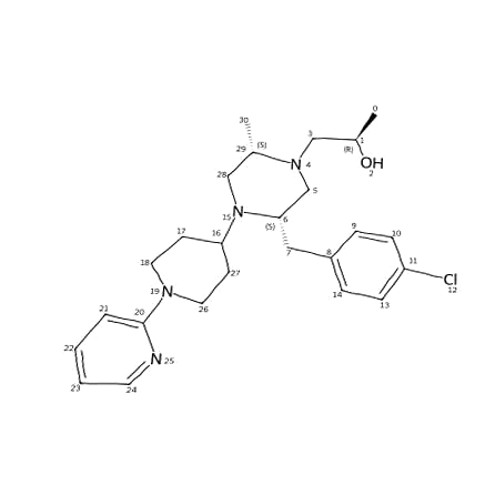 C[C@@H](O)CN1C[C@H](Cc2ccc(Cl)cc2)N(C2CCN(c3ccccn3)CC2)C[C@@H]1C